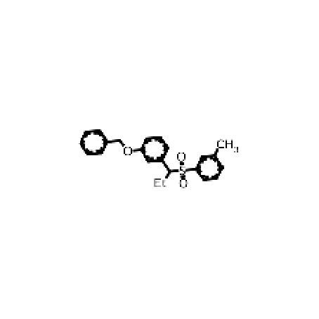 CCC(c1cccc(OCc2ccccc2)c1)S(=O)(=O)c1cccc(C)c1